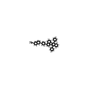 N#Cc1ccc2cc(-c3ccc(-c4ccc5c6c(cccc46)-c4c-5c(-c5ccccc5)c5ccccc5c4-c4ccccc4)cc3)ccc2c1